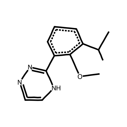 COc1c(C2=NN=C=CN2)cccc1C(C)C